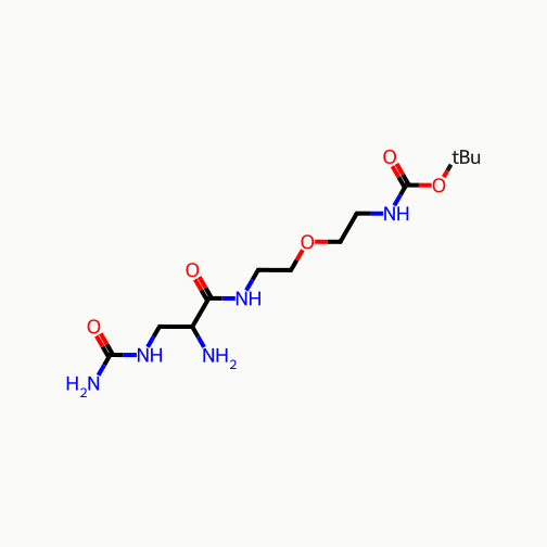 CC(C)(C)OC(=O)NCCOCCNC(=O)C(N)CNC(N)=O